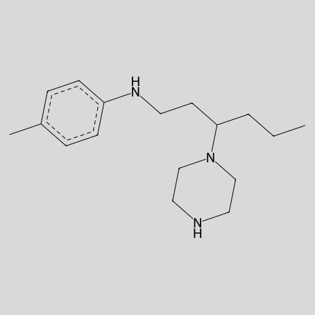 CCCC(CCNc1ccc(C)cc1)N1CCNCC1